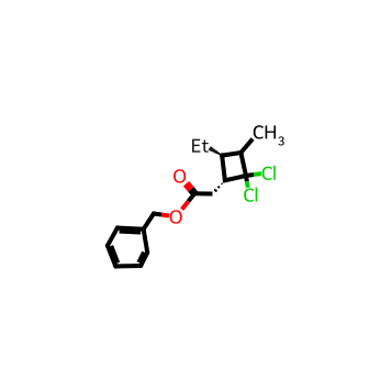 CC[C@H]1C(C)C(Cl)(Cl)[C@@H]1CC(=O)OCc1ccccc1